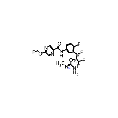 C/N=C(/N)O[C@H](C(F)F)[C@H](F)c1cc(NC(=O)c2cnc(OCF)cn2)ccc1F